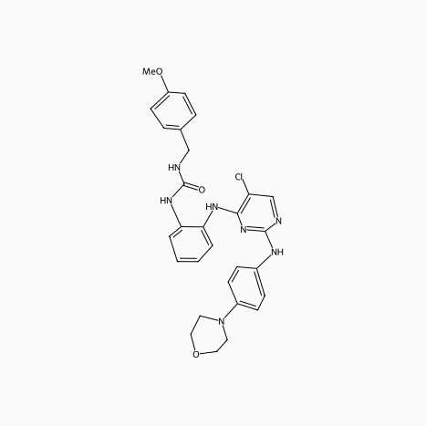 COc1ccc(CNC(=O)Nc2ccccc2Nc2nc(Nc3ccc(N4CCOCC4)cc3)ncc2Cl)cc1